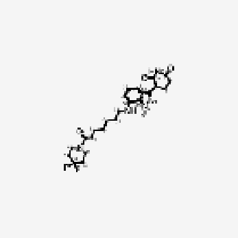 Cn1nc(C2CCC(=O)NC2=O)c2cccc(NCCCCCCC(=O)N3CCC(F)(F)CC3)c21